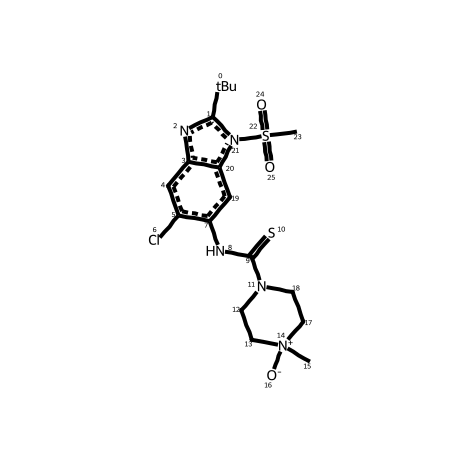 CC(C)(C)c1nc2cc(Cl)c(NC(=S)N3CC[N+](C)([O-])CC3)cc2n1S(C)(=O)=O